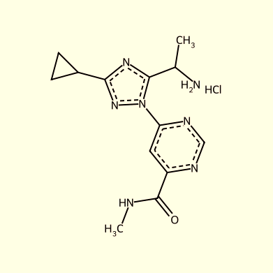 CNC(=O)c1cc(-n2nc(C3CC3)nc2C(C)N)ncn1.Cl